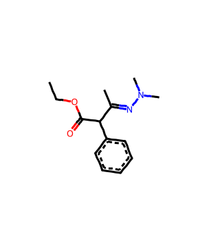 CCOC(=O)C(C(C)=NN(C)C)c1ccccc1